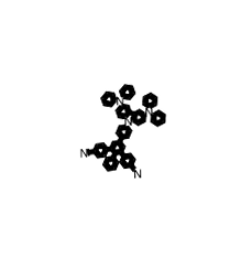 N#Cc1ccc(-c2cc(-c3ccc(-n4c5ccc(N(c6ccccc6)c6ccccc6)cc5c5cc(N(c6ccccc6)c6ccccc6)ccc54)cc3)cc(-c3ccc(C#N)cc3)c2-c2ccccc2)cc1